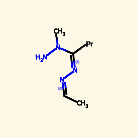 C/C=N\N=C(\C(C)C)N(C)N